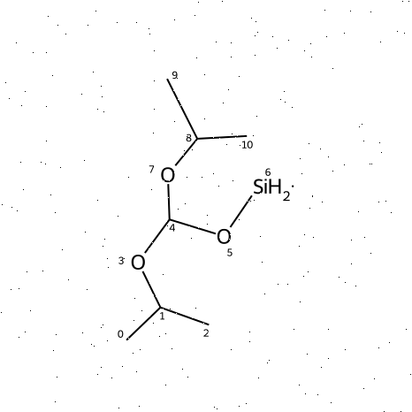 CC(C)OC(O[SiH2])OC(C)C